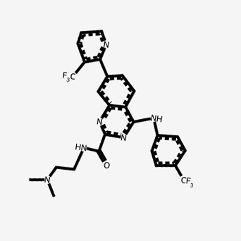 CN(C)CCNC(=O)c1nc(Nc2ccc(C(F)(F)F)cc2)c2ccc(-c3ncccc3C(F)(F)F)cc2n1